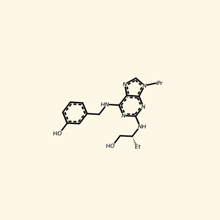 CC[C@H](CO)Nc1nc(NCc2cccc(O)c2)c2ncn(C(C)C)c2n1